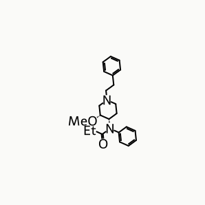 CCC(=O)N(c1ccccc1)[C@H]1CCN(CCc2ccccc2)C[C@H]1OC